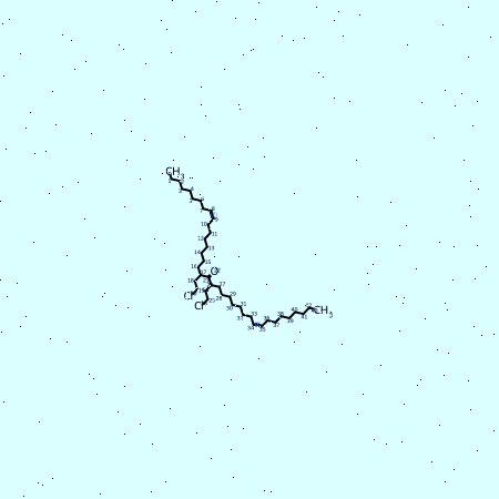 CCCCCCCC/C=C\CCCCCCCC(CCCl)C(=O)C(CCCl)CCCCCCC/C=C\CCCCCCCC